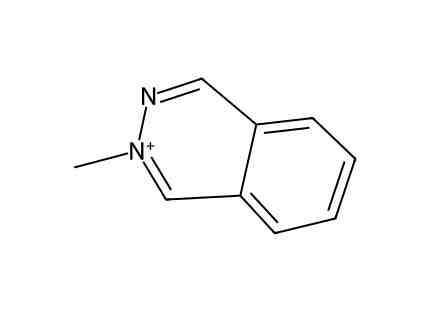 C[n+]1cc2ccccc2cn1